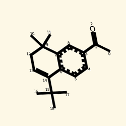 CC(=O)c1ccc2c(c1)C(C)(C)CC=C2C(C)(C)C